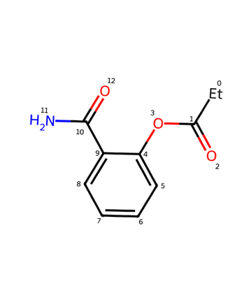 CCC(=O)Oc1ccccc1C(N)=O